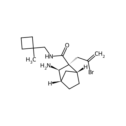 C=C(Br)C[C@]1(C(=O)NCC2(C)CCC2)[C@@H]2CC[C@@H](C2)[C@H]1N